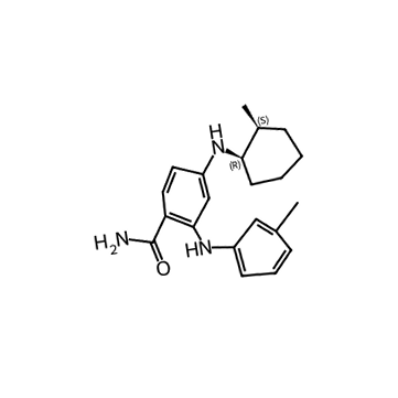 Cc1cccc(Nc2cc(N[C@@H]3CCCC[C@@H]3C)ccc2C(N)=O)c1